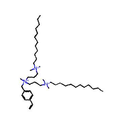 C=Cc1ccc(C[N+](C)(CCC[N+](C)(C)CCCCCCCCCCCC)CCC[N+](C)(C)CCCCCCCCCCCC)cc1